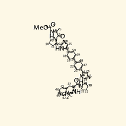 COC(=O)N[C@@H](C)C(=O)N1CCC[C@H]1c1ncc(-c2ccc(-c3ccc(-c4cnc([C@@H]5CCCN5C(=O)[C@H](Cc5ccccn5)NC(=O)O)[nH]4)cc3)cc2)[nH]1